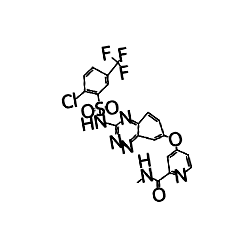 CNC(=O)c1cc(Oc2ccc3nc(NS(=O)(=O)c4cc(C(F)(F)F)ccc4Cl)nnc3c2)ccn1